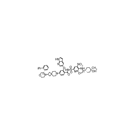 CC(C)c1ccccc1[C@H]1COCCN1C1CC2(CCN(c3ccc(C(=O)NS(=O)(=O)c4cc([N+](=O)[O-])c5c(n4)OC[C@H]([C@H]4CC[C@](C)(O)CC4)N5)c(Oc4cnc5[nH]ccc5c4)c3)CC2)C1